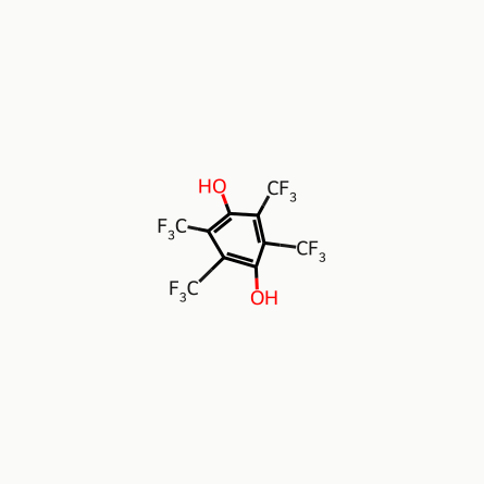 Oc1c(C(F)(F)F)c(C(F)(F)F)c(O)c(C(F)(F)F)c1C(F)(F)F